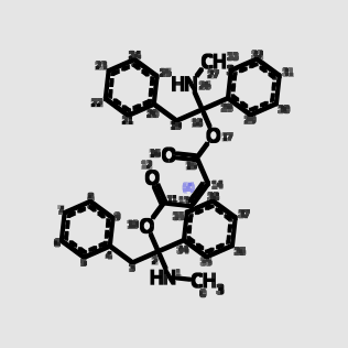 CNC(Cc1ccccc1)(OC(=O)/C=C\C(=O)OC(Cc1ccccc1)(NC)c1ccccc1)c1ccccc1